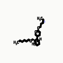 C/C=C\CCO[C@H]1CCC(C2[C@H]3CC[C@H](O3)[C@H]2COCCCCCC)CO1